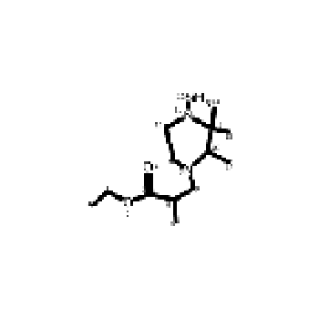 CCOC(=O)C(C)CN1CCN([SiH3])C(C)(C)C1C